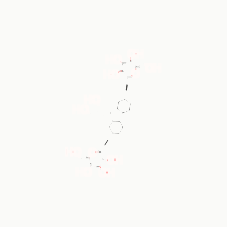 OCCCC1(CCO)c2cc(C#C[C@H]3O[C@H](CO)[C@@H](O)[C@H](O)[C@@H]3O)ccc2-c2ccc(C#C[C@H]3O[C@H](CO)[C@@H](O)[C@H](O)[C@@H]3O)cc21